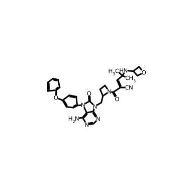 CC(C)(C=C(C#N)C(=O)N1CCC1Cn1c(=O)n(-c2ccc(Oc3ccccc3)cc2)c2c(N)ncnc21)NC1COC1